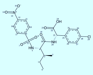 CC[C@H](C)[C@H](NS(=O)(=O)c1ccc([N+](=O)[O-])cc1)C(=O)N[C@H](C(=O)O)c1ccc(Cl)cc1